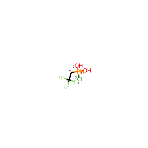 O[PH](O)(Cl)CC(F)(F)F